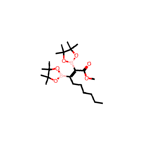 CCCCCC/C(B1OC(C)(C)C(C)(C)O1)=C(/B1OC(C)(C)C(C)(C)O1)C(=O)OC